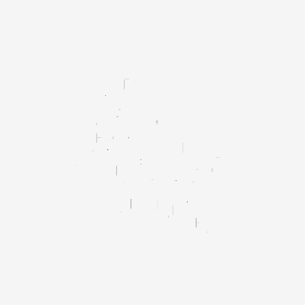 FC(F)(F)C(F)(F)C(F)(C=CC(C(F)(F)F)(C(F)(F)F)C(F)(F)F)C(F)(F)F